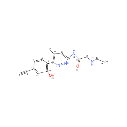 C#Cc1ccc(-c2nnc(NC(=O)CNCC(C)C)cc2C)c(O)c1